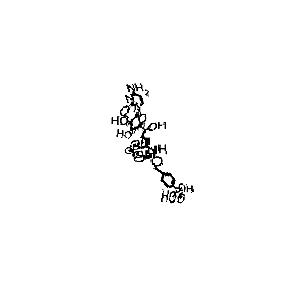 Nc1ccn([C@@H]2O[C@H](C(O)CCC(NC(=O)OCc3ccc(P(=O)(O)O)cc3)P(=O)(O)O)[C@@H](O)[C@H]2O)c(=O)n1